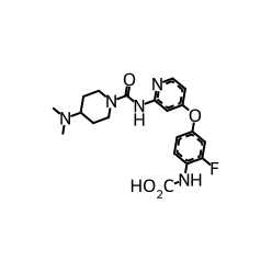 CN(C)C1CCN(C(=O)Nc2cc(Oc3ccc(NC(=O)O)c(F)c3)ccn2)CC1